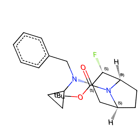 CC(C)(C)OC(=O)N1[C@H]2CC[C@@H]1[C@@H](F)[C@@H](N(Cc1ccccc1)C1CC1)C2